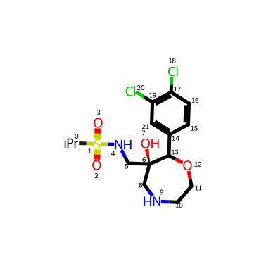 CC(C)S(=O)(=O)NC[C@@]1(O)CNCCOC1c1ccc(Cl)c(Cl)c1